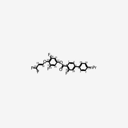 CCCc1ccc(-c2ccc(C(=O)Oc3cc(F)c(O/C=C/C(F)F)c(F)c3)c(F)c2)cc1